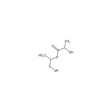 CCCSC(OC(=O)C(C)O)C(=O)O